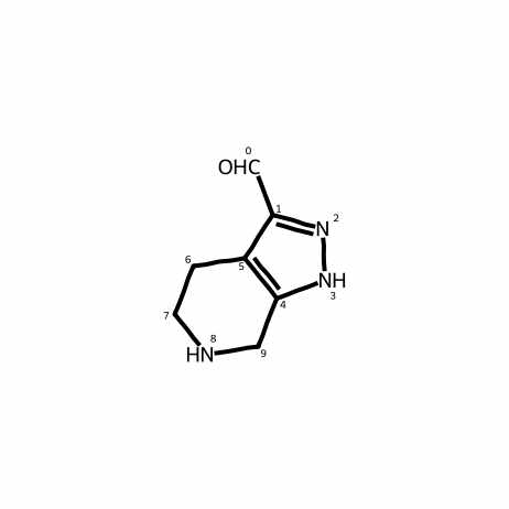 O=Cc1n[nH]c2c1CCNC2